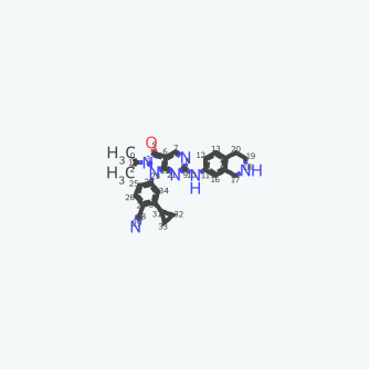 CC(C)n1c(=O)c2cnc(Nc3ccc4c(c3)CNCC4)nc2n1-c1ccc(C#N)c(C2CC2)c1